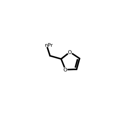 CCCC[C]1OC=CO1